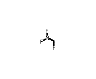 FCN(F)F